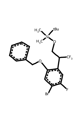 CC(C)(C)[Si](C)(C)OCC(c1cc(F)c(Br)cc1OCc1ccccc1)C(F)(F)F